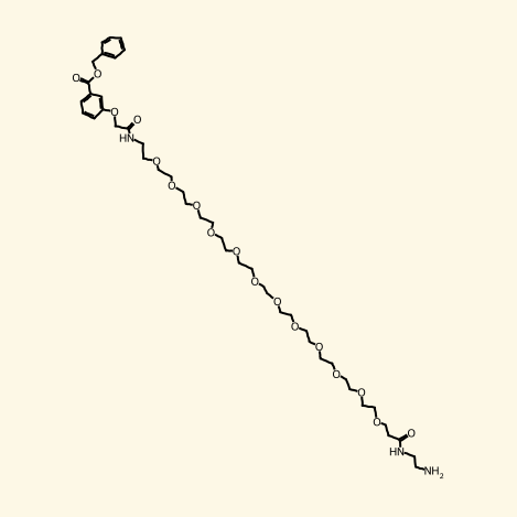 NCCNC(=O)CCOCCOCCOCCOCCOCCOCCOCCOCCOCCOCCOCCOCCNC(=O)COc1cccc(C(=O)OCc2ccccc2)c1